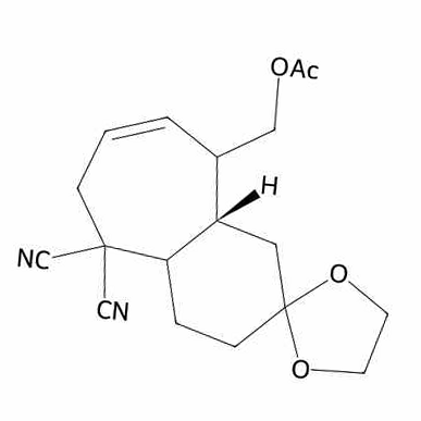 CC(=O)OCC1C=CCC(C#N)(C#N)C2CCC3(C[C@@H]12)OCCO3